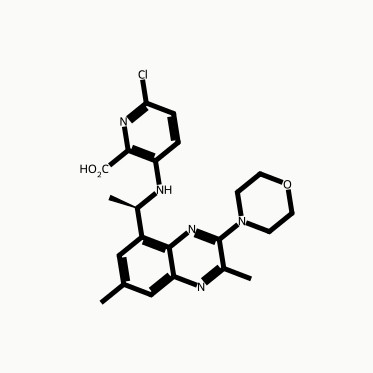 Cc1cc([C@@H](C)Nc2ccc(Cl)nc2C(=O)O)c2nc(N3CCOCC3)c(C)nc2c1